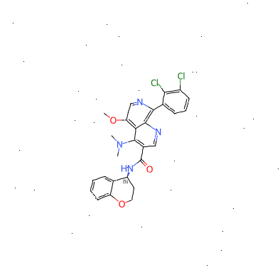 COc1cnc(-c2cccc(Cl)c2Cl)c2ncc(C(=O)N[C@H]3CCOc4ccccc43)c(N(C)C)c12